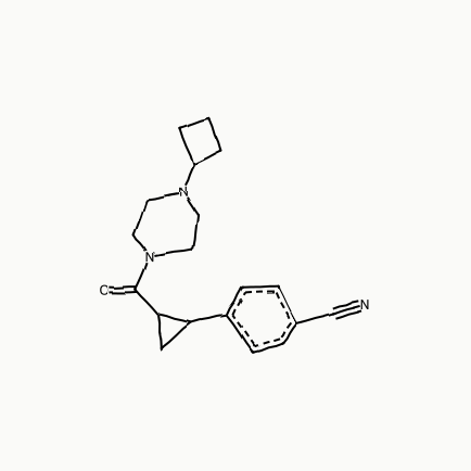 N#Cc1ccc(C2CC2C(=O)N2CCN(C3CCC3)CC2)cc1